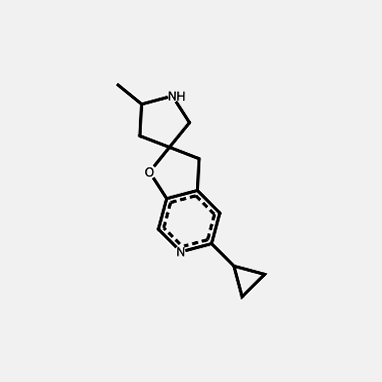 CC1CC2(CN1)Cc1cc(C3CC3)ncc1O2